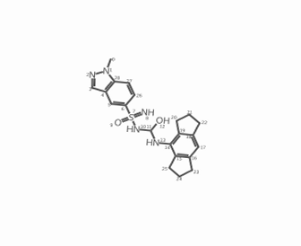 Cn1ncc2cc(S(=N)(=O)NC(O)Nc3c4c(cc5c3CCC5)CCC4)ccc21